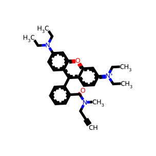 C#CCN(C)C(=O)c1ccccc1-c1c2ccc(=[N+](CC)CC)cc-2oc2cc(N(CC)CC)ccc12